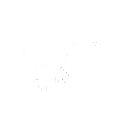 COc1ccc(Cn2nnc(-c3c(-c4ccc(C)cc4)cc(Cl)cc3S(N)(=O)=O)n2)cc1